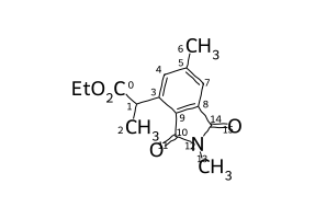 CCOC(=O)C(C)c1cc(C)cc2c1C(=O)N(C)C2=O